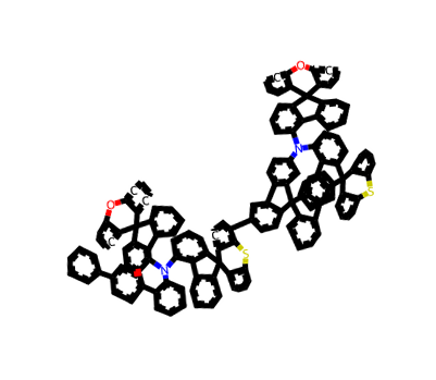 c1ccc(-c2ccc(-c3ccccc3N(c3cccc4c3-c3ccccc3C43c4ccccc4Oc4ccccc43)c3cccc4c3-c3ccccc3C43c4ccccc4Sc4c(-c5ccc6c(c5)-c5ccc(N(c7cccc8c7-c7ccccc7C87c8ccccc8Oc8ccccc87)c7cccc8c7-c7ccccc7C87c8ccccc8Sc8ccccc87)cc5C65c6ccccc6-c6ccccc65)cccc43)cc2)cc1